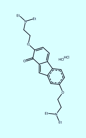 CCN(CC)CCOC1=CC=C2C(=Cc3cc(OCCN(CC)CC)ccc32)C1=O.Cl.Cl